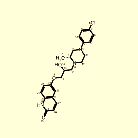 C[C@@H]1CN(c2ccc(Cl)cc2)CCN1C[C@H](O)COc1ccc2[nH]c(=O)ccc2c1